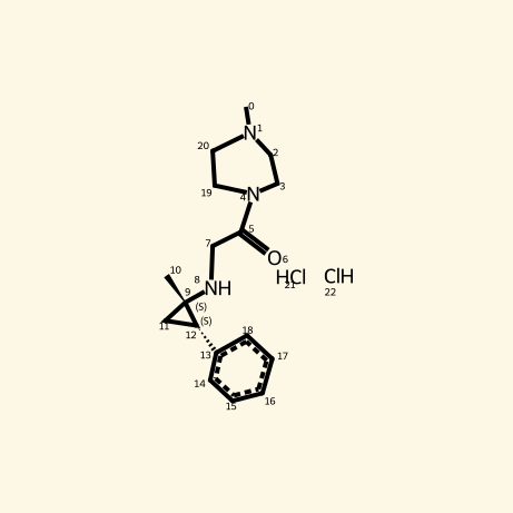 CN1CCN(C(=O)CN[C@@]2(C)C[C@H]2c2ccccc2)CC1.Cl.Cl